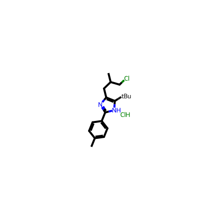 Cc1ccc(-c2nc(CC(C)CCl)c(C(C)(C)C)[nH]2)cc1.Cl